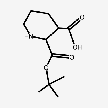 CC(C)(C)OC(=O)C1NCCCC1C(=O)O